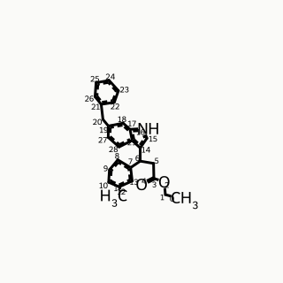 CCOC(=O)CC(c1cccc(C)c1)c1c[nH]c2cc(Cc3ccccc3)ccc12